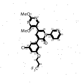 COc1ncc(-c2cc(-c3cc(Cl)cc(OCCC(F)(F)F)c3)c(=O)n(-c3cccnc3)c2)c(OC)n1